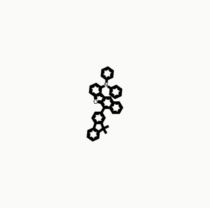 CC1(C)c2ccccc2-c2ccc(-c3c4ccccc4cc4c3oc3cccc(N(c5ccccc5)c5ccccc5)c34)cc21